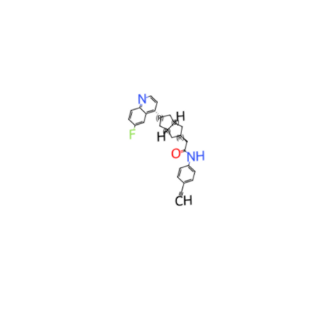 C#Cc1ccc(NC(=O)C[C@H]2C[C@@H]3C[C@H](c4ccnc5ccc(F)cc45)C[C@@H]3C2)cc1